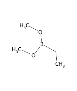 CCB(OC)OC